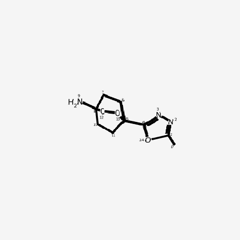 Cc1nnc(C23CCC(N)(CC2)CO3)o1